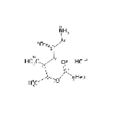 CCCCCCCC(=O)OC(C)C(CC(=O)CN)C(=O)O.Cl